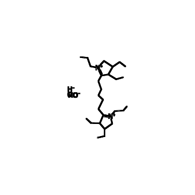 CCC[N+]1=C(CCCCCC2=[N+](CCC)CC(CC)C2CC)C(CC)C(CC)C1.[OH-].[OH-]